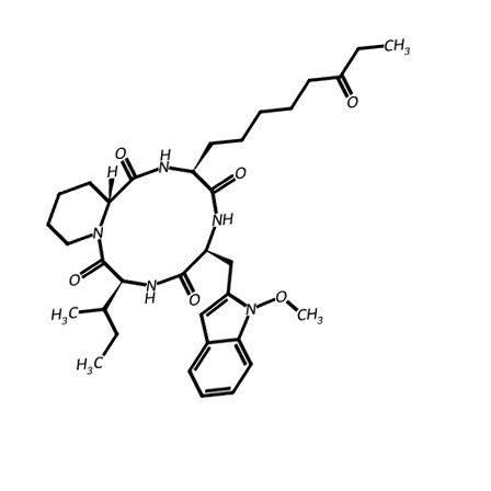 CCC(=O)CCCCC[C@@H]1NC(=O)[C@H]2CCCCN2C(=O)[C@H](C(C)CC)NC(=O)[C@H](Cc2cc3ccccc3n2OC)NC1=O